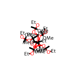 CCCCC(OC(C)(OC)OCC)(OC(C)(OC)OCC)C(CC)(OC(C)(OC)OCC)C(=O)C(CC)(OC(C)(OC)OCC)C(CCCC)(OC(C)(OC)OCC)OC(C)(OC)OCC